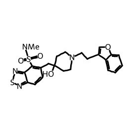 CNS(=O)(=O)c1c(CC2(O)CCN(CCc3coc4ccccc34)CC2)ccc2nsnc12